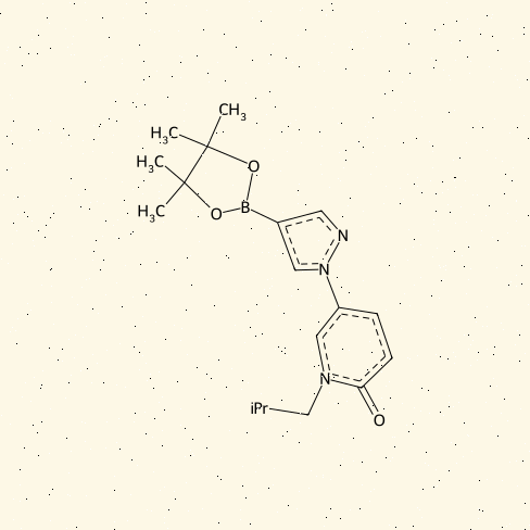 CC(C)Cn1cc(-n2cc(B3OC(C)(C)C(C)(C)O3)cn2)ccc1=O